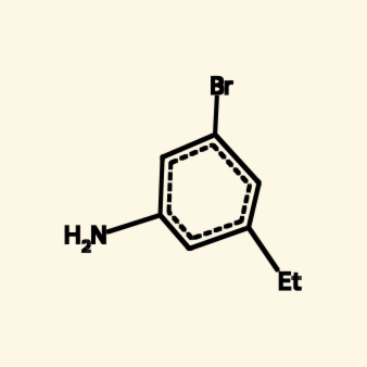 CCc1cc(N)cc(Br)c1